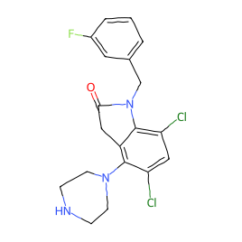 O=C1Cc2c(N3CCNCC3)c(Cl)cc(Cl)c2N1Cc1cccc(F)c1